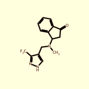 CN(Cc1[c][nH]nc1C(F)(F)F)C1CC(=O)c2ccccc21